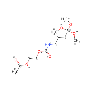 CO[Si](CCCNC(=O)OCCOC(C)=O)(OC)OC